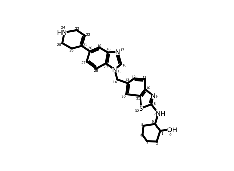 OC1CCCCC1Nc1nc2ccc(Cn3cnc4cc(C5=CCNCC5)ccc43)cc2s1